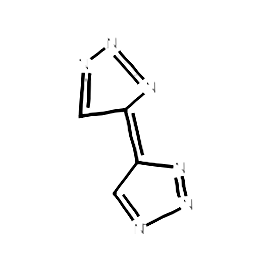 C1=NN=NC1=C1C=NN=N1